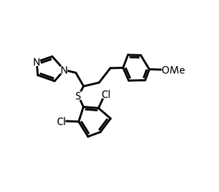 COc1ccc(CCC(Cn2ccnc2)Sc2c(Cl)cccc2Cl)cc1